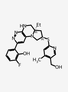 CC[C@@]12CNc3nnc(-c4cccc(F)c4O)cc3N1C[C@H](Sc1cc(C)c(CO)cn1)C2